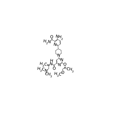 COC[C@@H](C)Oc1nc(C(=O)N[C@H](C)CN(C)C)cc(N2CCC(c3ccc(N)c(C(N)=O)n3)CC2)n1